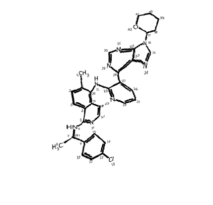 Cc1ccc2c(N[C@H](C)c3ccc(Cl)cc3)nccc2c1Nc1ncccc1-c1ncnc2c1ncn2C1CCCCO1